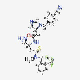 CN(Cc1ccccc1C(F)(F)F)C(=S)C[C@@H](CN)NC(=O)Cc1cncn1Cc1ccc(C#N)cc1